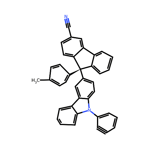 Cc1ccc([C@]2(c3ccc4c(c3)c3ccccc3n4-c3c#cccc3)c3ccccc3-c3cc(C#N)ccc32)cc1